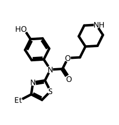 CCc1csc(N(C(=O)OCC2CCNCC2)c2ccc(O)cc2)n1